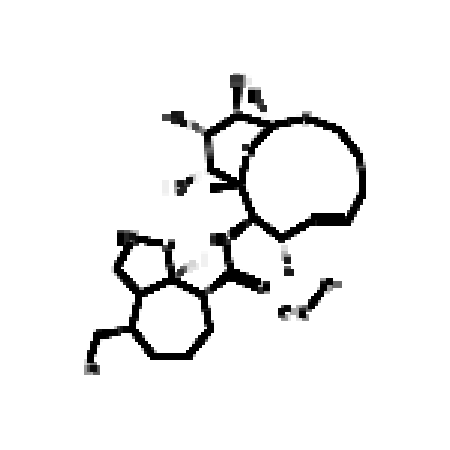 CC(C)C[C@@H]1CCC[C@H](C(=O)N[C@H]2[C@H]3O[C@H](SCCC/C=C/[C@@H]2C)[C@H](O)[C@@H](O)[C@H]3O)[C@@H]2ONCC12.O=CO